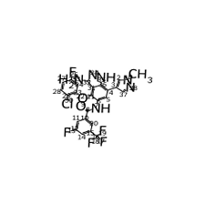 Cn1cc(-c2cc(NC(=O)c3cc(F)cc(C(F)(F)F)c3)c(Oc3cc(F)ccc3Cl)c3c(N)n[nH]c23)cn1